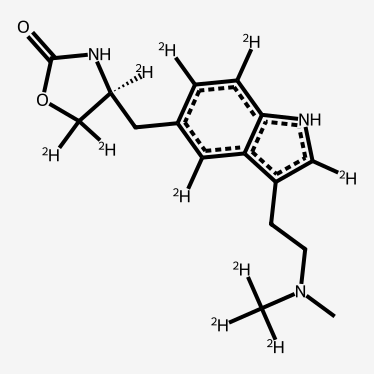 [2H]c1[nH]c2c([2H])c([2H])c(C[C@]3([2H])NC(=O)OC3([2H])[2H])c([2H])c2c1CCN(C)C([2H])([2H])[2H]